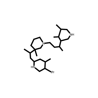 CC(C)C1CNC(CC(C)C2(C)CCCN(CCC(C)C3CNCC(C)C3C)C2)CC1C